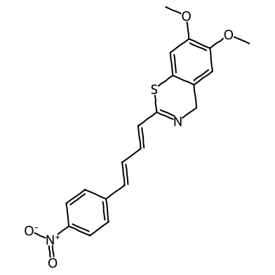 COc1cc2c(cc1OC)SC(/C=C/C=C/c1ccc([N+](=O)[O-])cc1)=NC2